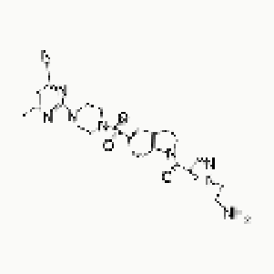 Cc1cc(C#N)nc(N2CCN(S(=O)(=O)c3ccc4c(c3)CCN4C(=O)c3cnn(CCN)c3)CC2)n1